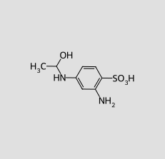 CC(O)Nc1ccc(S(=O)(=O)O)c(N)c1